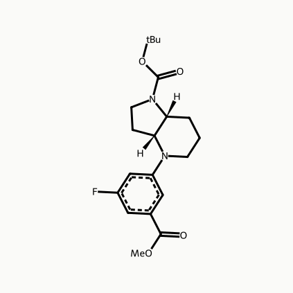 COC(=O)c1cc(F)cc(N2CCC[C@@H]3[C@H]2CCN3C(=O)OC(C)(C)C)c1